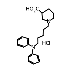 Cl.O=C(O)C1CCCN(CCCCCN(c2ccccc2)c2ccccc2)C1